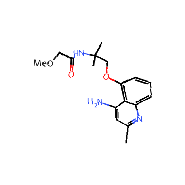 COCC(=O)NC(C)(C)COc1cccc2nc(C)cc(N)c12